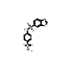 NS(=O)(=O)c1ccc(NS(=O)(=O)c2ccc3ncsc3c2)cc1